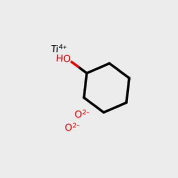 OC1CCCCC1.[O-2].[O-2].[Ti+4]